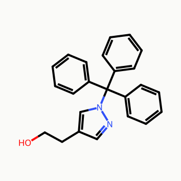 OCCc1cnn(C(c2ccccc2)(c2ccccc2)c2ccccc2)c1